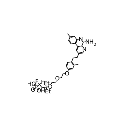 CCC(CC)(CC(F)(F)P(=O)(O)O)OCCOCCOc1ccc(CCc2cnc3c(N)nc4cc(C)ccc4c3c2)c(C)c1